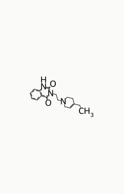 CCC1=CCN(CCn2c(=O)[nH]c3ccccc3c2=O)CC1